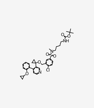 CN(CCCCNC(=O)OC(C)(C)C)S(=O)(=O)c1ccc(Cl)c(COC2(c3cnccc3-c3ccccc3OC3CC3)CC2)c1